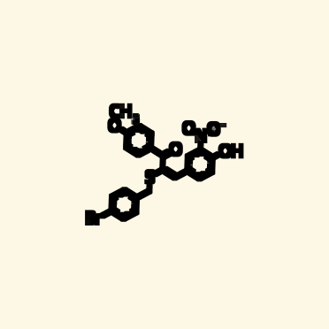 COc1ccc(C(=O)/C(=C\c2ccc(O)c([N+](=O)[O-])c2)SCc2ccc(Br)cc2)cc1